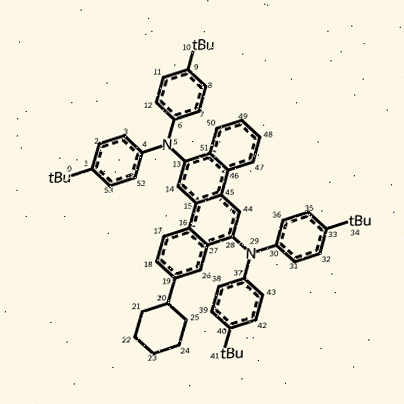 CC(C)(C)c1ccc(N(c2ccc(C(C)(C)C)cc2)c2cc3c4ccc(C5CCCCC5)cc4c(N(c4ccc(C(C)(C)C)cc4)c4ccc(C(C)(C)C)cc4)cc3c3ccccc23)cc1